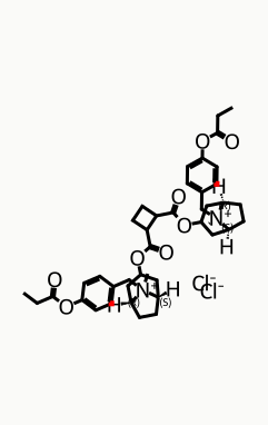 CCC(=O)Oc1ccc(C[N+]2(C)[C@@H]3CC[C@H]2CC(OC(=O)C2CCC2C(=O)OC2C[C@H]4CC[C@@H](C2)[N+]4(C)Cc2ccc(OC(=O)CC)cc2)C3)cc1.[Cl-].[Cl-]